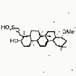 CO[C@@H]1CC(C)(C)CC2C3=CCC4[C@@]5(C)CC[C@H](O)[C@](C)(COS(=O)(=O)O)C5CC[C@@]4(C)[C@]3(C)CC[C@]21C